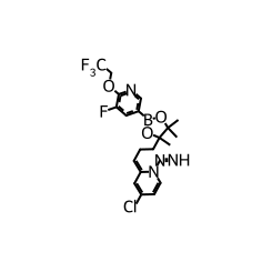 CC1(C)OB(c2cnc(OCC(F)(F)F)c(F)c2)OC1(C)CC/C=C1/C=C(Cl)C=CN1N=N